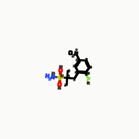 CC(C)(Cc1cc([N+](=O)[O-])ccc1F)S(N)(=O)=O